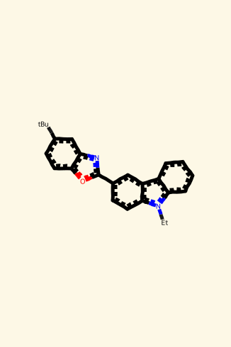 CCn1c2ccccc2c2cc(-c3nc4cc(C(C)(C)C)ccc4o3)ccc21